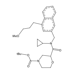 COCCCc1cc(CN(C(=O)C2CN(C(=O)OC(C)(C)C)CCO2)C2CC2)cc2ccccc12